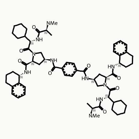 CN[C@@H](C)C(=O)N[C@H](C(=O)N1C[C@@H](NC(=O)c2ccc(C(=O)N[C@H]3C[C@@H](C(=O)N[C@H]4CCCc5ccccc54)N(C(=O)[C@@H](NC(=O)[C@H](C)NC)C4CCCCC4)C3)cc2)C[C@H]1C(=O)N[C@H]1CCCc2ccccc21)C1CCCCC1